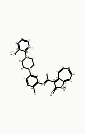 C/C(=N\c1cc(N2CCN(c3ncccc3[N+](=O)[O-])CC2)ccc1C)c1c2cccccc-2[nH]c1=O